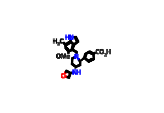 COc1cc(C)c2[nH]ccc2c1CN1CC[C@@H](NC2COC2)C[C@@H]1c1ccc(C(=O)O)cc1